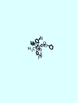 Cc1c(-c2ccnn2-c2ccc(C#N)cc2)c(=O)n(C2CN(C(=O)OCc3ccccc3)C2)c(=O)n1-c1cccc(C(F)(F)F)c1